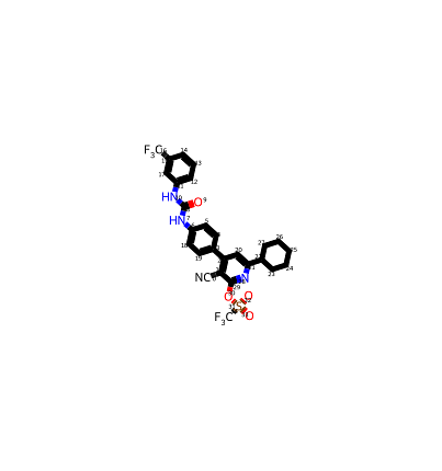 N#Cc1c(-c2ccc(NC(=O)Nc3cccc(C(F)(F)F)c3)cc2)cc(C2CCCCC2)nc1OS(=O)(=O)C(F)(F)F